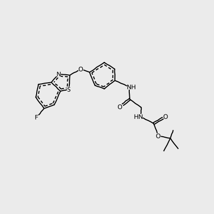 CC(C)(C)OC(=O)NCC(=O)Nc1ccc(Oc2nc3ccc(F)cc3s2)cc1